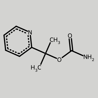 CC(C)(OC(N)=O)c1ccccn1